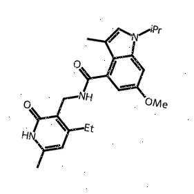 CCc1cc(C)[nH]c(=O)c1CNC(=O)c1cc(OC)cc2c1c(C)cn2C(C)C